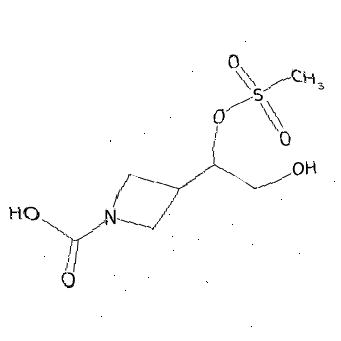 CS(=O)(=O)OC(CO)C1CN(C(=O)O)C1